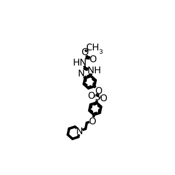 COC(=O)Nc1nc2ccc(OS(=O)(=O)c3ccc(OCCN4CCCCC4)cc3)cc2[nH]1